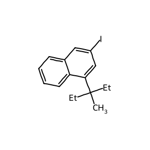 CCC(C)(CC)c1cc(I)cc2ccccc12